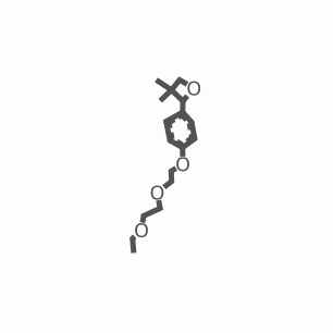 CCOCCOCCOc1ccc(C2OCC2(C)C)cc1